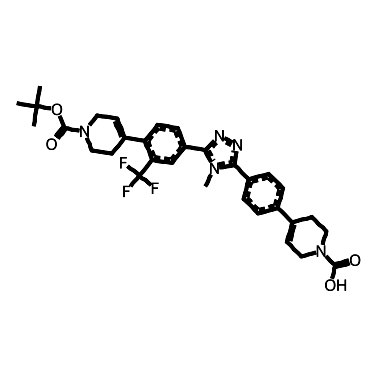 Cn1c(-c2ccc(C3=CCN(C(=O)O)CC3)cc2)nnc1-c1ccc(C2=CCN(C(=O)OC(C)(C)C)CC2)c(C(F)(F)F)c1